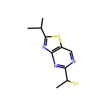 CC(C)c1nc2nc(C(C)S)ncc2s1